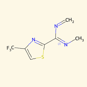 C=N/C(=N\C)c1nc(C(F)(F)F)cs1